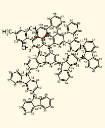 Cc1cc(C)c(-c2cc3c4c(c2)-n2c5ccc(-n6c7ccccc7c7cc(-n8c9ccccc9c9ccccc98)ccc76)cc5c5cc(-n6c7ccccc7c7cc(-n8c9ccccc9c9ccccc98)ccc76)cc(c52)B4c2cc(-c4ccccc4-c4ccccc4)cc(-c4ccccc4-c4ccccc4)c2O3)c(C)c1